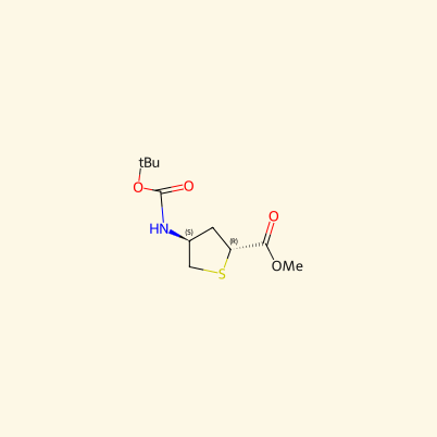 COC(=O)[C@H]1C[C@H](NC(=O)OC(C)(C)C)CS1